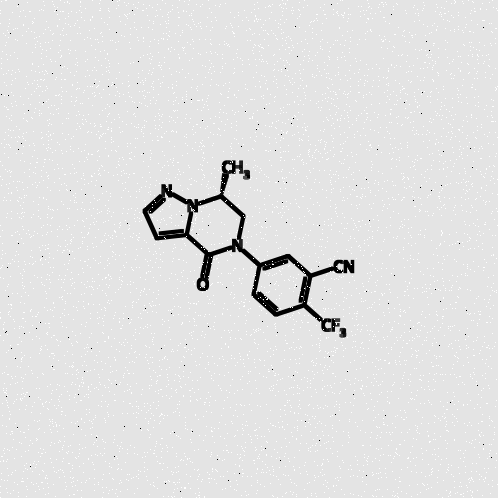 C[C@H]1CN(c2ccc(C(F)(F)F)c(C#N)c2)C(=O)c2ccnn21